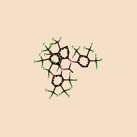 CC(P(c1ccc(C(F)(F)F)c(C(F)(F)F)c1C(F)(F)F)c1ccc(C(F)(F)F)c(C(F)(F)F)c1C(F)(F)F)P(c1ccc(C(F)(F)F)c(C(F)(F)F)c1C(F)(F)F)c1ccc(C(F)(F)F)c(C(F)(F)F)c1C(F)(F)F